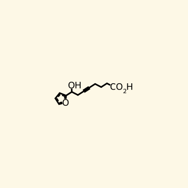 O=C(O)CCCC#CCC(O)c1ccco1